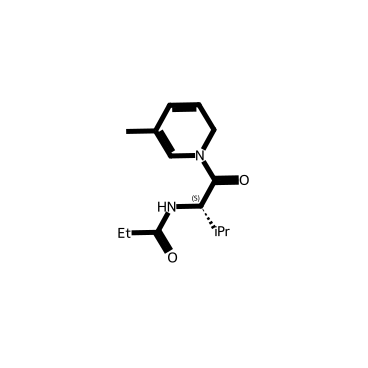 CCC(=O)N[C@H](C(=O)N1C=C(C)C=CC1)C(C)C